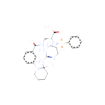 O=C(NC[C@H](NS(=O)(=O)c1ccccc1)C(=O)O)c1cccc(N2CCCCC2(O)NC2=NCCCN2)c1